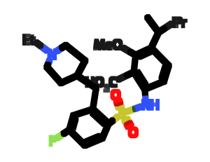 CCN1CCC(Cc2cc(F)ccc2S(=O)(=O)Nc2ccc(C(C)C(C)C)c(OC)c2C(=O)O)CC1